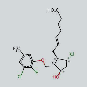 O=C(O)CCCC=CC[C@@H]1[C@@H](COc2cc(C(F)(F)F)cc(Cl)c2F)[C@H](O)C[C@H]1Cl